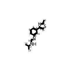 Cc1nc(-c2cccc(/N=C/NC(C)C)c2)cs1